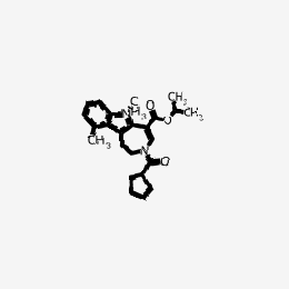 Cc1cccc2c1c1c(n2C)C(C(=O)OC(C)C)=CN(C(=O)C2CCCC2)CC1